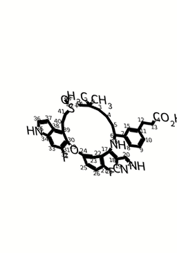 CC1(C)CCCC(c2cccc(CCC(=O)O)c2)N/C(=C(/C#N)C=N)c2cc(ccc2F)Oc2c(F)cc3[nH]ccc3c2CC[S+]([O-])C1